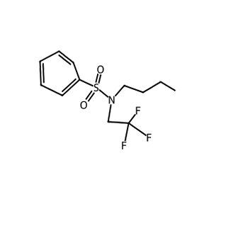 CCCCN(CC(F)(F)F)S(=O)(=O)c1ccccc1